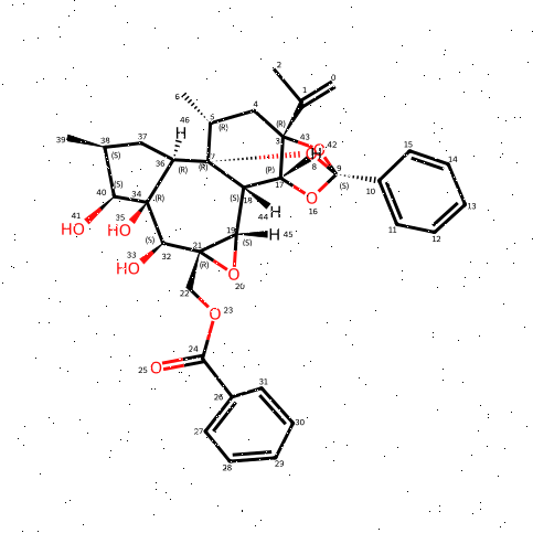 C=C(C)[C@]12C[C@@H](C)[C@@]34O[C@](c5ccccc5)(O[C@@H]1[C@@H]3[C@@H]1O[C@]1(COC(=O)c1ccccc1)[C@@H](O)[C@@]1(O)[C@H]4C[C@H](C)[C@@H]1O)O2